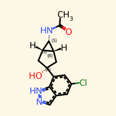 CC(=O)N[C@@H]1[C@@H]2C[C@@](O)(c3cc(Cl)cc4cn[nH]c34)C[C@@H]21